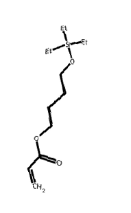 C=CC(=O)OCCCCO[Si](CC)(CC)CC